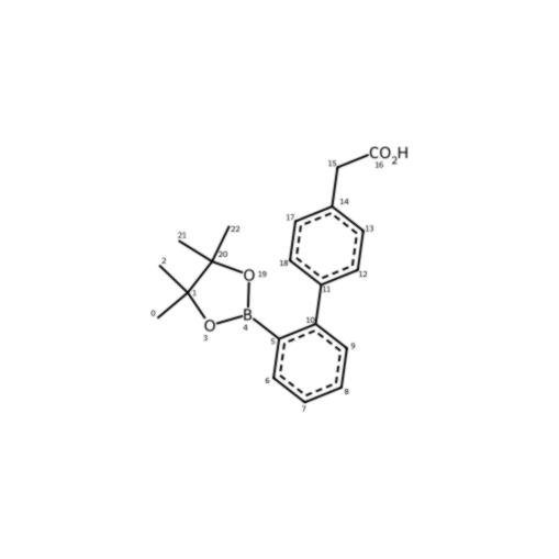 CC1(C)OB(c2ccccc2-c2ccc(CC(=O)O)cc2)OC1(C)C